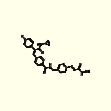 O=C(C=Cc1ccc(CNC(=O)c2ccc(C=C(C(=O)NC3CC3)c3ccc(F)cc3)cc2)cc1)NO